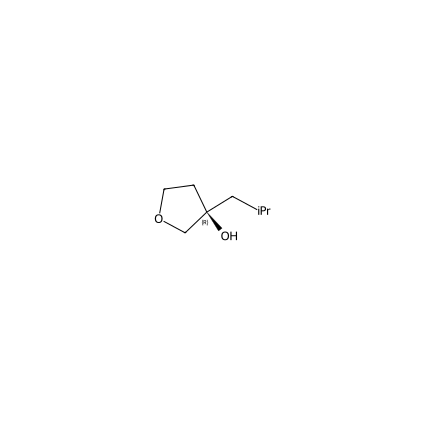 CC(C)C[C@@]1(O)CCOC1